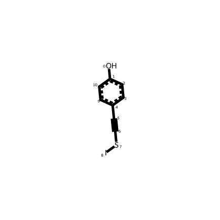 Oc1ccc(C#CSI)cc1